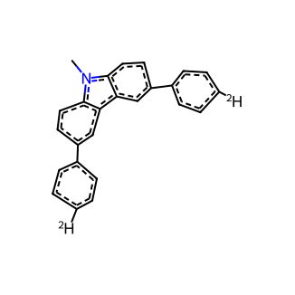 [2H]c1ccc(-c2ccc3c(c2)c2cc(-c4ccc([2H])cc4)ccc2n3C)cc1